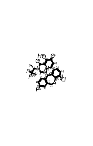 C[C@@H](N1CN([C@@H]2c3ccc(F)cc3CSc3c(Cl)cccc32)n2ccc(=O)c(O)c2C1=O)C(F)(F)F